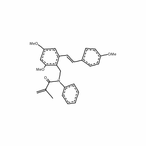 C=C(C)C(=O)N(Cc1c(C=Cc2ccc(OC)cc2)cc(OC)cc1OC)c1ccccc1